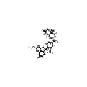 Cc1noc(CC(C)(c2ccc(F)cc2)C2CCN(C(=O)N3CC[C@@H]4OCC(=O)N[C@@H]4C3)CC2)n1